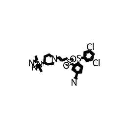 Cc1nnc(C)n1C1CCN(C=CCS(=O)(=O)c2cc(C#N)ccc2Sc2cc(Cl)cc(Cl)c2)CC1